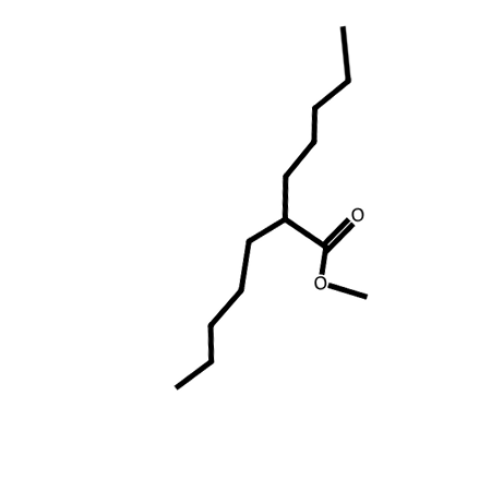 CCCCCC(CCCCC)C(=O)OC